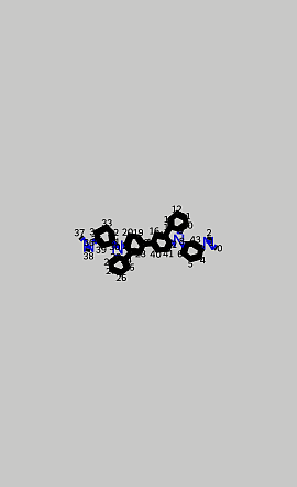 CN(C)c1cccc(-n2c3ccccc3c3cc(-c4ccc5c(c4)c4ccccc4n5-c4cccc(N(C)C)c4)ccc32)c1